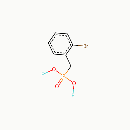 O=P(Cc1cc[c]cc1Br)(OF)OF